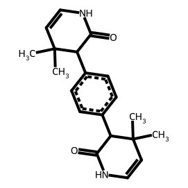 CC1(C)C=CNC(=O)C1c1ccc(C2C(=O)NC=CC2(C)C)cc1